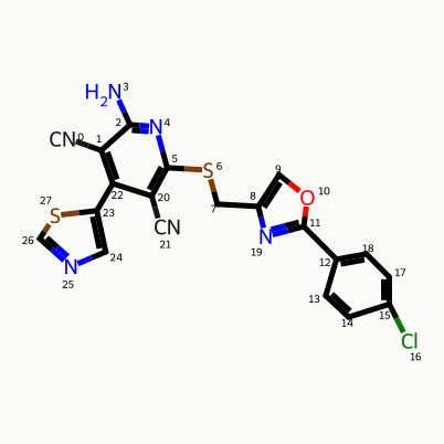 [C-]#[N+]c1c(N)nc(SCc2coc(-c3ccc(Cl)cc3)n2)c(C#N)c1-c1cncs1